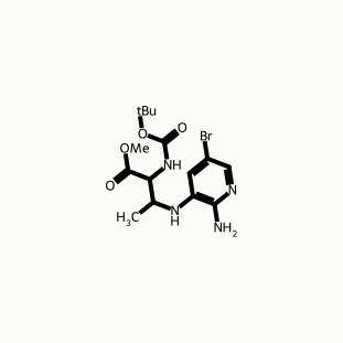 COC(=O)C(NC(=O)OC(C)(C)C)C(C)Nc1cc(Br)cnc1N